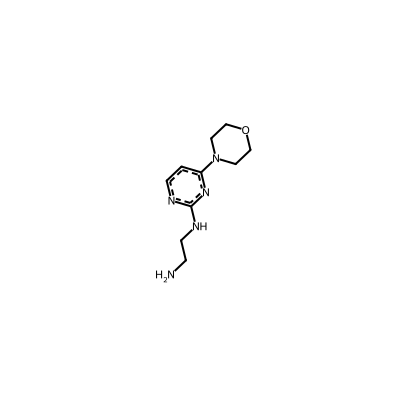 NCCNc1nccc(N2CCOCC2)n1